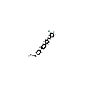 CCCCC[Si@H]1CC[C@H](c2ccc(-c3ccc(CCc4ccc(F)c(F)c4)cc3)cc2)CC1